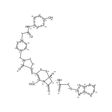 O=C(C[n+]1ccc(CN2CCC(=CC3=C(C(=O)[O-])N4C(=O)[C@@H](NC(=O)CSc5nc6ccccc6s5)[C@H]4SC3)C2=O)cc1)Nc1ccc(O)cc1